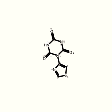 O=c1[nH]c(=O)n(-c2cscn2)c(=O)[nH]1